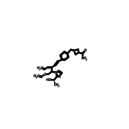 C=C/C=C(/C#Cc1ccc(CN2CC(C(N)=O)C2)cc1)C(CON=C)n1ccnc1[C@H](C)O